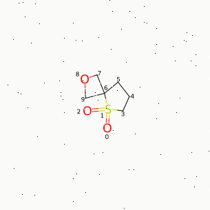 O=S1(=O)CCCC12COC2